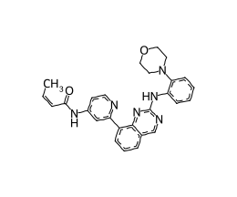 C/C=C\C(=O)Nc1ccnc(-c2cccc3cnc(Nc4ccccc4N4CCOCC4)nc23)c1